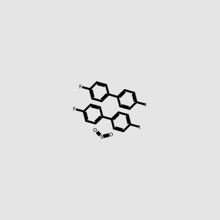 Fc1ccc(-c2ccc(I)cc2)cc1.Fc1ccc(-c2ccc(I)cc2)cc1.O=S=O